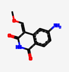 COC=C1C(=O)NC(=O)c2ccc(N)cc21